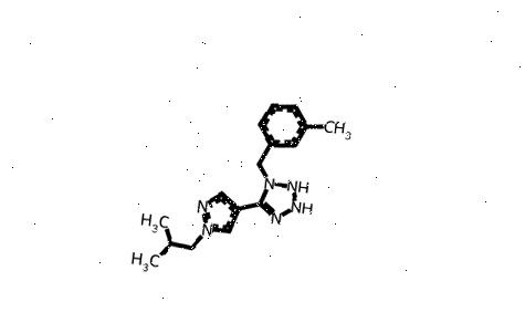 Cc1cccc(CN2NNN=C2c2cnn(CC(C)C)c2)c1